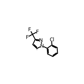 FC(F)(F)c1c[c]n(-c2ccccc2Cl)n1